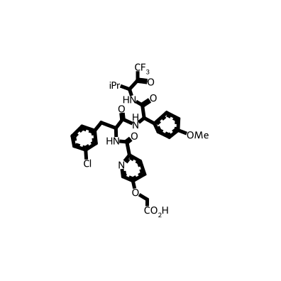 COc1ccc(C(NC(=O)C(Cc2cccc(Cl)c2)NC(=O)c2ccc(OCC(=O)O)cn2)C(=O)NC(C(=O)C(F)(F)F)C(C)C)cc1